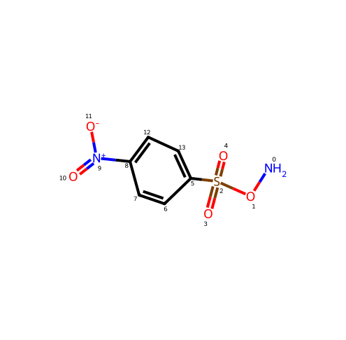 NOS(=O)(=O)c1ccc([N+](=O)[O-])cc1